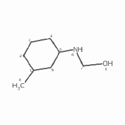 CC1CCCC(NCO)C1